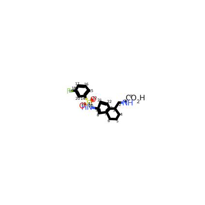 O=C(O)NCC1CCCc2cc(NS(=O)(=O)c3cccc(F)c3)ccc21